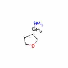 BN.C1CCOC1